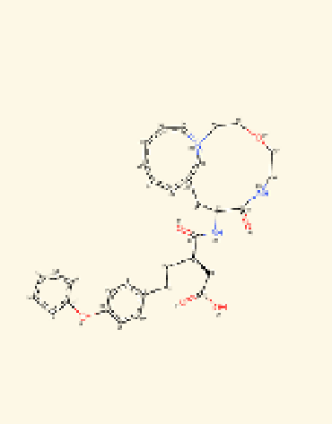 O=C(O)C[C@@H](CCc1ccc(Oc2ccccc2)cc1)C(=O)NC1Cc2ccccccn(c2)CCOCCNC1=O